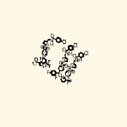 COC(=O)c1csc2c(C(F)(F)F)cc(N3CCN(S(=O)(=O)c4ccc(CNC(=O)c5ccc(Cl)cc5)s4)CC3)nc12.O=C(NCc1ccc(S(=O)(=O)N2CCC(C(=O)c3ccc(F)cc3F)CC2)s1)c1ccc(Cl)cc1.O=C(NCc1ccc(S(=O)(=O)N2CCN(c3ncccc3C(F)(F)F)CC2)s1)c1ccc(Cl)cc1